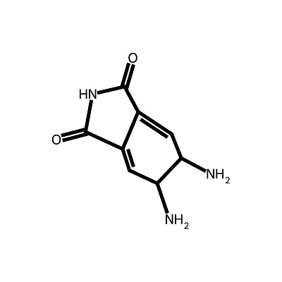 NC1C=C2C(=O)NC(=O)C2=CC1N